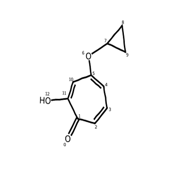 O=c1cccc(OC2CC2)cc1O